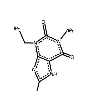 CCCn1c(=O)c2[nH]c(C)nc2n(CC(C)C)c1=O